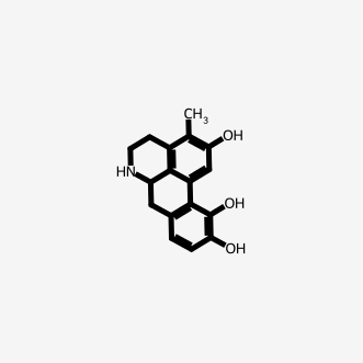 Cc1c(O)cc2c3c1CCNC3Cc1ccc(O)c(O)c1-2